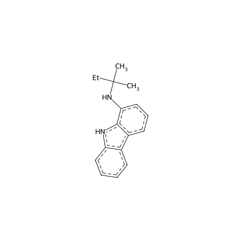 CCC(C)(C)Nc1cccc2c1[nH]c1ccccc12